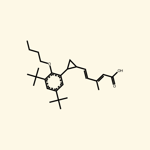 CCCCOc1c(C2CC2C=CC(C)=CC(=O)O)cc(C(C)(C)C)cc1C(C)(C)C